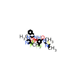 Cc1csc(CN(C)C(=O)c2cc(C(=O)N[C@@H](Cc3ccccc3)[C@H](O)CN(C)c3cncc(C(C)(F)F)c3)cc(C(F)F)c2)n1